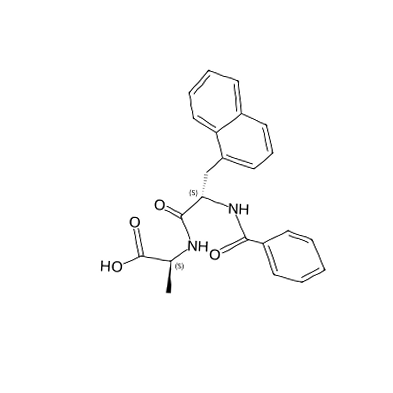 C[C@H](NC(=O)[C@H](Cc1cccc2ccccc12)NC(=O)c1ccccc1)C(=O)O